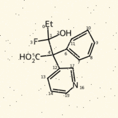 CCC(O)(F)C(C(=O)O)(c1ccccc1)c1cccnc1